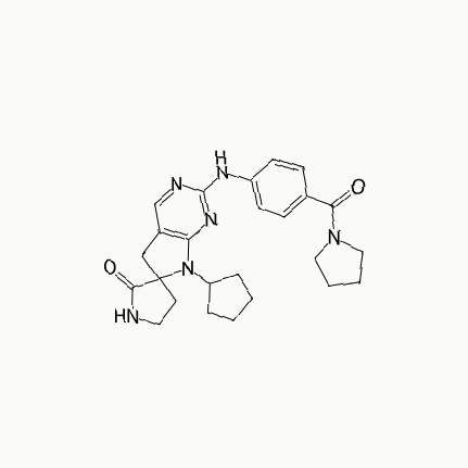 O=C(c1ccc(Nc2ncc3c(n2)N(C2CCCC2)C2(CCNC2=O)C3)cc1)N1CCCC1